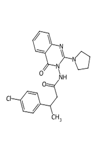 CC(CC(=O)Nn1c(N2CCCC2)nc2ccccc2c1=O)c1ccc(Cl)cc1